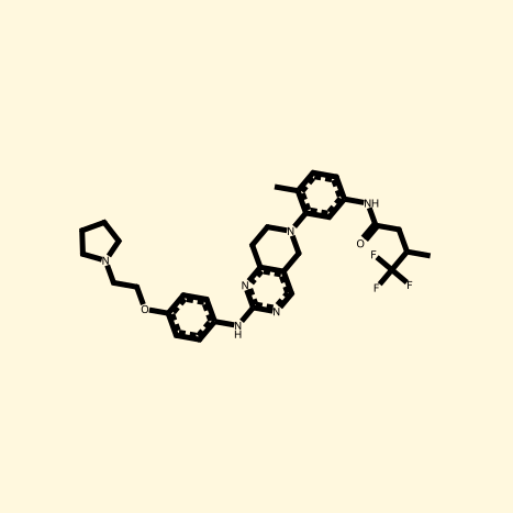 Cc1ccc(NC(=O)CC(C)C(F)(F)F)cc1N1CCc2nc(Nc3ccc(OCCN4CCCC4)cc3)ncc2C1